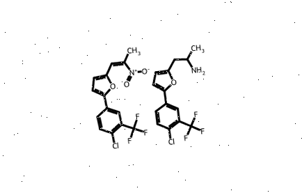 CC(=Cc1ccc(-c2ccc(Cl)c(C(F)(F)F)c2)o1)[N+](=O)[O-].CC(N)Cc1ccc(-c2ccc(Cl)c(C(F)(F)F)c2)o1